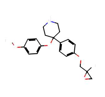 CC1(COc2ccc(C3(Oc4ccc(OC(F)(F)F)cc4)CCNCC3)cc2)CO1